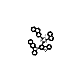 c1ccc2cc3c(cc2c1)c1ccccc1n3-c1cc(C2=NC(c3cccc4ccccc34)NC(c3ccc4c(ccc5ccccc54)c3)=N2)c2c(c1)oc1ccccc12